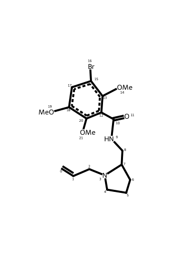 C=CCN1CCCC1CNC(=O)c1c(OC)c(Br)cc(OC)c1OC